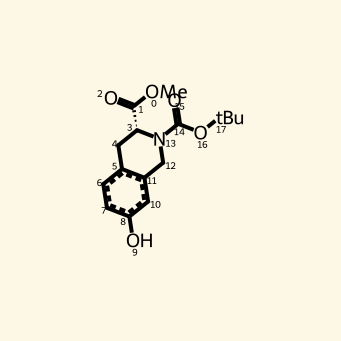 COC(=O)[C@H]1Cc2ccc(O)cc2CN1C(=O)OC(C)(C)C